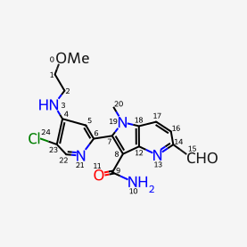 COCCNc1cc(-c2c(C(N)=O)c3nc(C=O)ccc3n2C)ncc1Cl